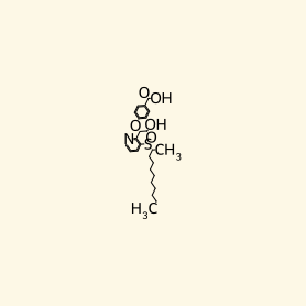 CCCCCCCCCC(C)Sc1cccnc1C(Oc1ccc(C(=O)O)cc1)C(=O)O